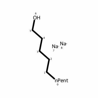 CCCCCCCCCCO.[Na].[Na]